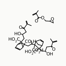 C=C(C)C(=O)CC(O)CC1(C(=O)O)C2C=CC(C2)C1(CC(C)C1(C(=O)O)C2C=CC(C2)C1(CC(O)CC(=O)C(=C)C)C(=O)O)C(=O)O.C=C(C)C(=O)OCC1CO1